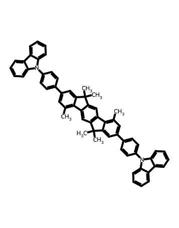 Cc1cc(-c2ccc(-n3c4ccccc4c4ccccc43)cc2)cc2c1-c1cc3c(cc1C2(C)C)-c1c(C)cc(-c2ccc(-n4c5ccccc5c5ccccc54)cc2)cc1C3(C)C